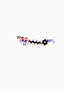 CC(C)(C)OC(=O)NC(=O)OCCCCCCCSc1ccc(N)cc1